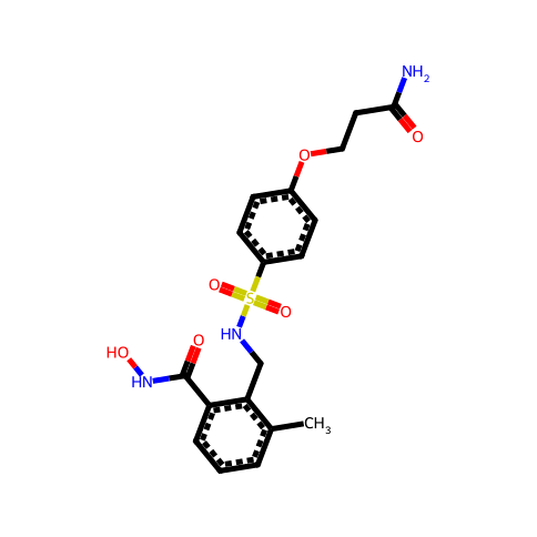 Cc1cccc(C(=O)NO)c1CNS(=O)(=O)c1ccc(OCCC(N)=O)cc1